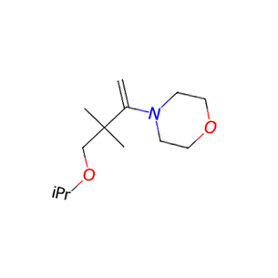 C=C(N1CCOCC1)C(C)(C)COC(C)C